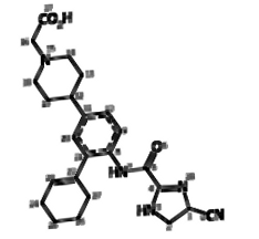 N#CC1CNC(C(=O)Nc2ccc(C3CCN(CC(=O)O)CC3)cc2C2=CCCCC2)=N1